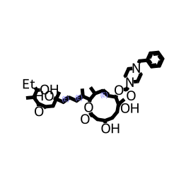 CCC(O)C(C)C1OC1CC(C)(O)/C=C/C=C(\C)C1OC(=O)CC(O)CCC(C)(O)C(OC(=O)N2CCN(Cc3ccccc3)CC2)/C=C/C1C